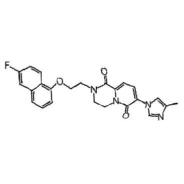 Cc1cn(-c2ccc3n(c2=O)CCN(CCOc2cccc4cc(F)ccc24)C3=O)cn1